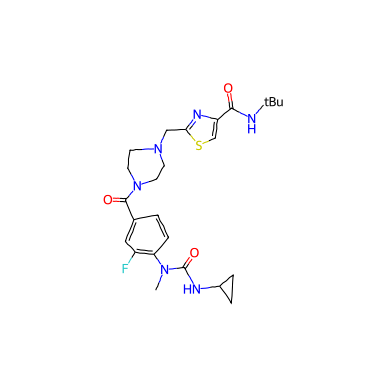 CN(C(=O)NC1CC1)c1ccc(C(=O)N2CCN(Cc3nc(C(=O)NC(C)(C)C)cs3)CC2)cc1F